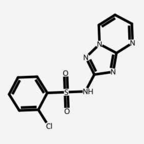 O=S(=O)(Nc1nc2ncccn2n1)c1ccccc1Cl